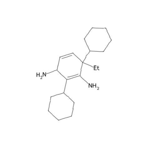 CCC1(C2CCCCC2)C=CC(N)C(C2CCCCC2)=C1N